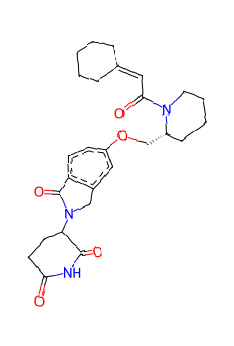 O=C1CCC(N2Cc3cc(OC[C@H]4CCCCN4C(=O)C=C4CCCCC4)ccc3C2=O)C(=O)N1